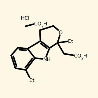 CC(=O)O.CCc1cccc2c3c([nH]c12)C(CC)(CC(=O)O)OCC3.Cl